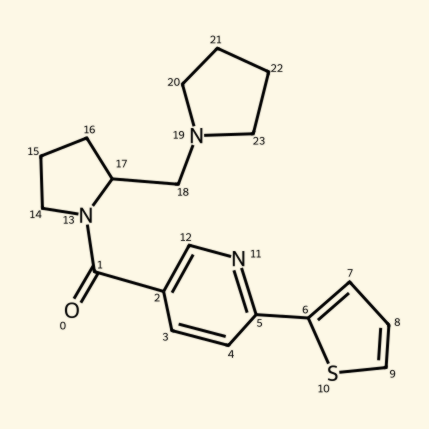 O=C(c1ccc(-c2cccs2)nc1)N1CCCC1CN1CCCC1